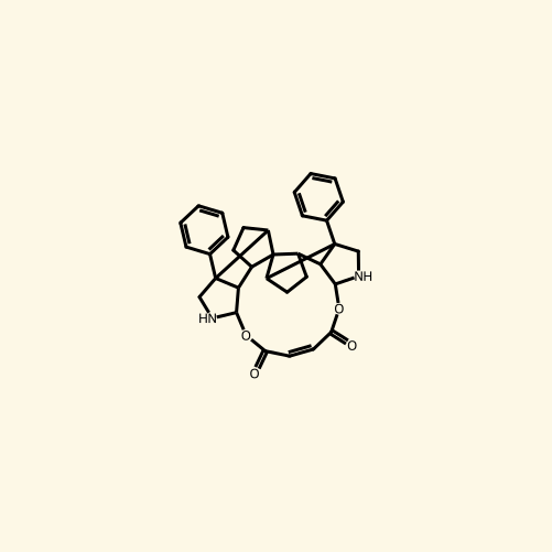 O=C1/C=C\C(=O)OC2NCC3(c4ccccc4)C2C2CCC3C23C2CCC3C3(c4ccccc4)CNC(O1)C23